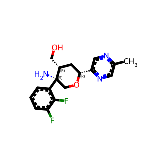 Cc1cnc([C@H]2C[C@@H](CO)[C@](N)(c3cccc(F)c3F)CO2)cn1